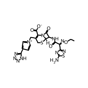 CCON=C(C(=O)NC1C(=O)N2C(C(=O)[O-])=C(C[n+]3ccc(-c4nnn[nH]4)cc3)CS[C@@H]12)c1nsc(N)n1